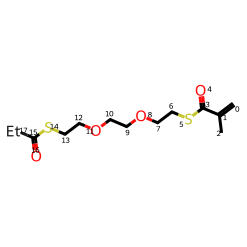 C=C(C)C(=O)SCCOCCOCCSC(=O)CC